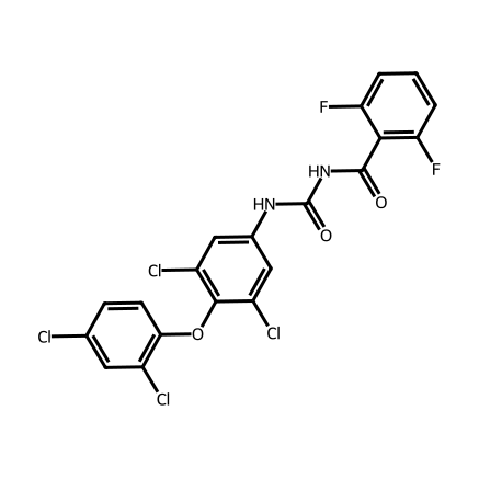 O=C(NC(=O)c1c(F)cccc1F)Nc1cc(Cl)c(Oc2ccc(Cl)cc2Cl)c(Cl)c1